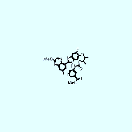 COC(=O)c1cncc(NC(=O)OC(C)C(C)Oc2cc3sc(-c4cc(C)cc5nc(OC)cnc45)nc3cc2F)c1